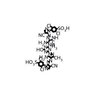 CC(=N)/C(N=Nc1c(C#N)cnn1-c1cc(Cl)c(S(=O)(=O)O)cc1Cl)=C(/N)Nc1nc(O)nc(-n2nc(C)c(N=Nc3c(C#N)cnn3-c3cc(Cl)c(S(=O)(=O)O)cc3Cl)c2N)n1